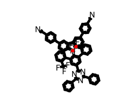 N#Cc1ccc(-c2ccc3c(c2)c2cc(-c4ccc(C#N)cc4)ccc2n3-c2c(-c3ccccc3C(F)(F)F)cc(-c3nc(-c4ccccc4)nc(-c4ccccc4)n3)cc2-c2ccccc2C(F)(F)F)cc1